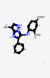 COc1ccc(Nc2c(-c3ccccc3)nc3c(C#N)c[nH]n23)c(OC)c1